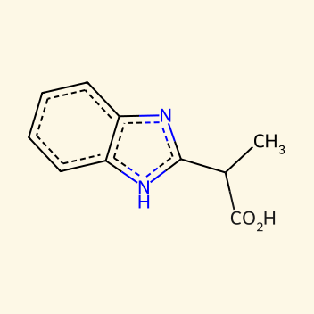 CC(C(=O)O)c1nc2ccccc2[nH]1